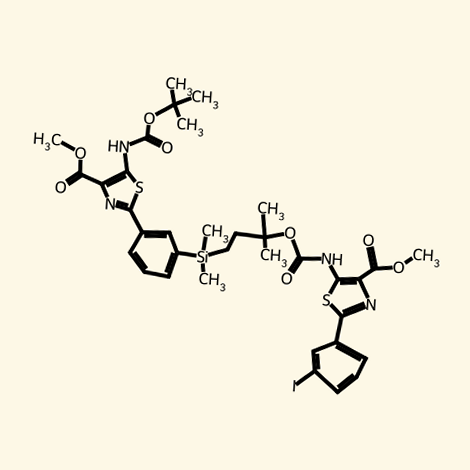 COC(=O)c1nc(-c2cccc([Si](C)(C)CCC(C)(C)OC(=O)Nc3sc(-c4cccc(I)c4)nc3C(=O)OC)c2)sc1NC(=O)OC(C)(C)C